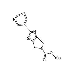 CC(C)(C)OC(=O)N1Cc2nc(-c3cccnc3)sc2C1